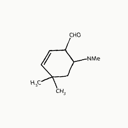 CNC1CC(C)(C)C=CC1C=O